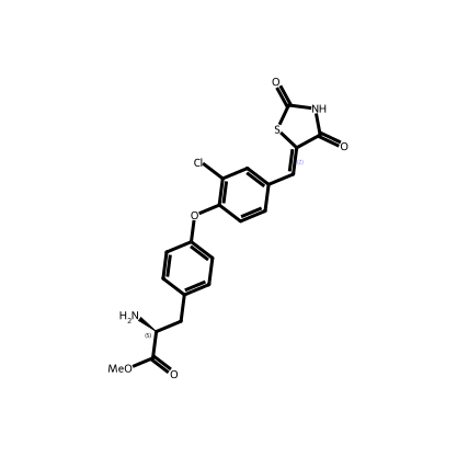 COC(=O)[C@@H](N)Cc1ccc(Oc2ccc(/C=C3\SC(=O)NC3=O)cc2Cl)cc1